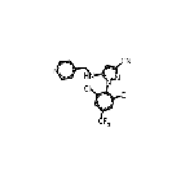 N#Cc1cc(NCc2ccncc2)n(-c2c(Cl)cc(C(F)(F)F)cc2Cl)n1